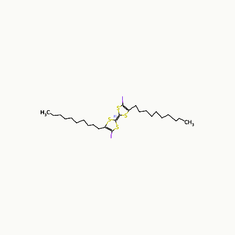 CCCCCCCCCCC1=C(I)S/C(=C2/SC(I)=C(CCCCCCCCCC)S2)S1